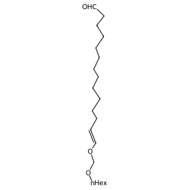 CCCCCCOCOC=CCCCCCCCCCCCC=O